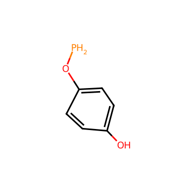 Oc1ccc(OP)cc1